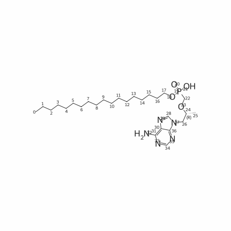 CCCCCCCCCCCCCCCCCCOP(=O)(O)CO[C@H](C)Cn1cnc2c(N)ncnc21